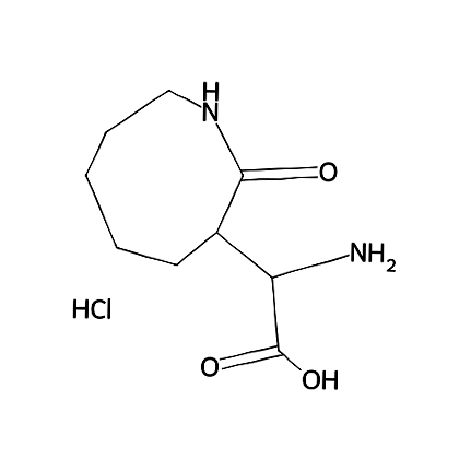 Cl.NC(C(=O)O)C1CCCCCNC1=O